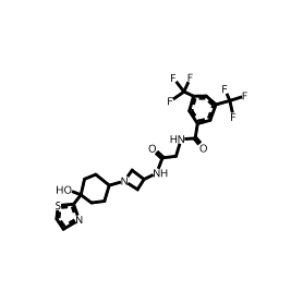 O=C(CNC(=O)c1cc(C(F)(F)F)cc(C(F)(F)F)c1)NC1CN(C2CCC(O)(c3nccs3)CC2)C1